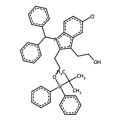 CC(C)(C)[Si](OCCc1c(CCO)c2cc(Cl)ccc2n1C(c1ccccc1)c1ccccc1)(c1ccccc1)c1ccccc1